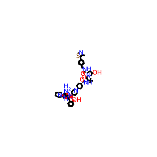 Cc1ncsc1-c1ccc(CNC(=O)[C@@H]2C[C@@H](O)CN2C(=O)[C@@H](NC(=O)[C@H]2CC[C@@H](N3CCC(Oc4ccc(N5C6CCC5CN(c5cc(-c7ccccc7O)nnc5N)C6)cn4)CC3)CC2)C(C)(C)C)cc1